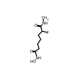 CNC(=O)C(F)CCCCC(=O)NO